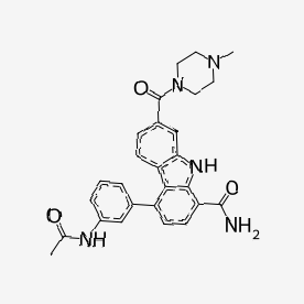 CC(=O)Nc1cccc(-c2ccc(C(N)=O)c3[nH]c4cc(C(=O)N5CCN(C)CC5)ccc4c23)c1